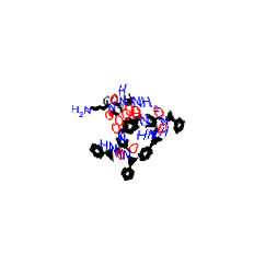 NCCCC[C@@H](C(=O)O)N(C(=O)COc1cc(C(=O)N2C[C@@H](C(=O)N[C@H]3C[C@@H]3c3ccccc3)[C@H](C(=O)N[C@H]3C[C@@H]3c3ccccc3)C2)ccc1C(=O)N1C[C@@H](C(=O)N[C@H]2C[C@@H]2c2ccccc2)[C@H](C(=O)N[C@H]2C[C@@H]2c2ccccc2)C1)C(=O)[C@H](CO)NC(=O)CN